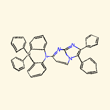 c1ccc(-c2nc3nc(N4c5ccccc5[Si](c5ccccc5)(c5ccccc5)c5ccccc54)ccn3c2-c2ccccc2)cc1